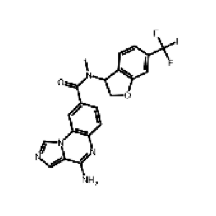 CN(C(=O)c1ccc2nc(N)c3cncn3c2c1)C1COc2cc(C(F)(F)F)ccc21